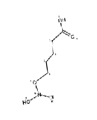 O=C(O)CCCCON(O)O